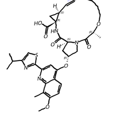 COc1ccc2c(O[C@@H]3C[C@H]4C(=O)N[C@]5(C(=O)O)C[C@H]5/C=C\CCCCO[C@H](C)C(=O)N4C3)cc(-c3nc(C(C)C)cs3)nc2c1C